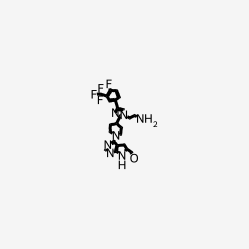 NCCn1cc(-c2ccc(F)c(C(F)(F)F)c2)nc1C1CCN(c2ncnc3c2CC(C=O)N3)CC1